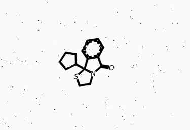 O=C1c2ccccc2C2(C3CCCC3)SCCN12